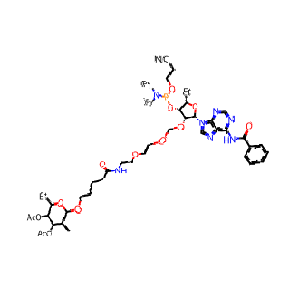 CCC1OC(OCCCCC(=O)NCCOCCOCO[C@@H]2[C@H](OP(OCCC#N)N(C(C)C)C(C)C)[C@@H](CC)O[C@H]2n2cnc3c(NC(=O)c4ccccc4)ncnc32)C(C)C(OC(C)=O)C1OC(C)=O